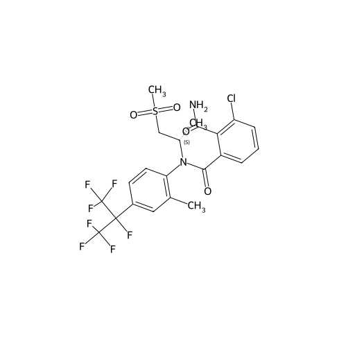 Cc1cc(C(F)(C(F)(F)F)C(F)(F)F)ccc1N(C(=O)c1cccc(Cl)c1C(N)=O)[C@@H](C)CS(C)(=O)=O